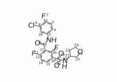 O=C(Nc1ccc(F)c(Cl)c1)c1c(F)ccc(S(=O)(=O)N[C@H]2CCOC2)c1F